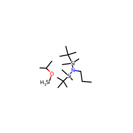 CC(C)O[SiH3].CCCN([Si](C)(C)C(C)(C)C)[Si](C)(C)C(C)(C)C